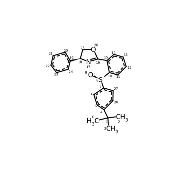 CC(C)(C)c1ccc([S@@+]([O-])c2ccccc2C2=N[C@@H](c3ccccc3)CO2)cc1